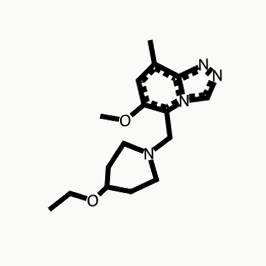 CCOC1CCN(Cc2c(OC)cc(C)c3nncn23)CC1